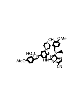 COc1ccc(CN(C(=O)O)c2cc(Nc3nc(N(Cc4ccc(OC)cc4)C4CC4)c4ncc(C#N)n4n3)c(F)c(N3CCN(C)CC3)c2)cc1